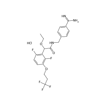 CCOC(C(=O)NCc1ccc(C(=N)N)cc1)c1c(F)ccc(OCCC(F)(F)F)c1F.Cl